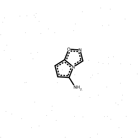 Nc1ccc2oncn12